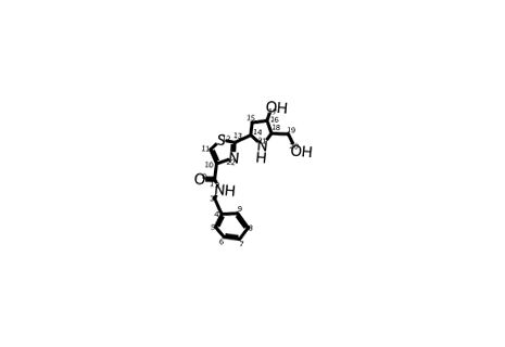 O=C(NCc1ccccc1)c1csc(C2CC(O)C(CO)N2)n1